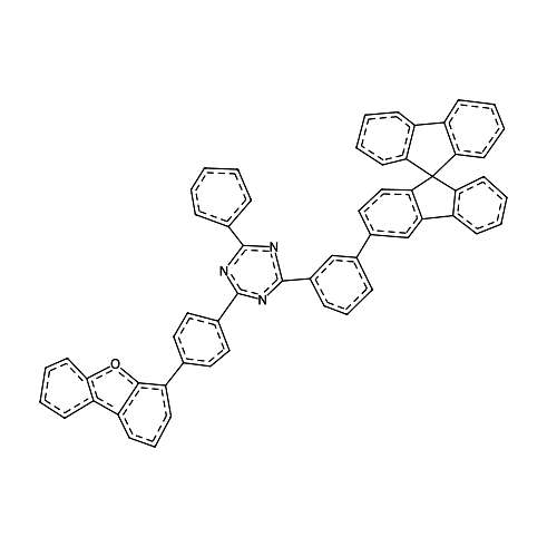 c1ccc(-c2nc(-c3ccc(-c4cccc5c4oc4ccccc45)cc3)nc(-c3cccc(-c4ccc5c(c4)-c4ccccc4C54c5ccccc5-c5ccccc54)c3)n2)cc1